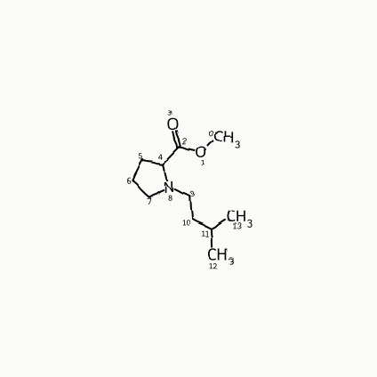 COC(=O)C1CCCN1CCC(C)C